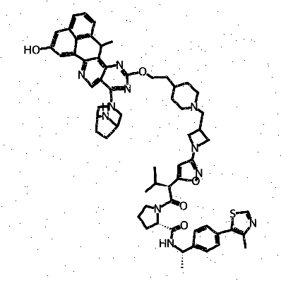 Cc1ncsc1-c1ccc([C@H](C)NC(=O)[C@@H]2CCCN2C(=O)[C@H](c2cc(N3CC(CN4CCC(CCOc5nc(N6CC7CCC(C6)N7)c6cnc7c(c6n5)C(C)c5cccc6cc(O)cc-7c56)CC4)C3)no2)C(C)C)cc1